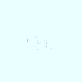 Cc1nc(C2(F)CCC2)no1